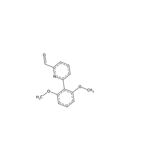 COc1cccc(OC)c1-c1cccc(C=O)n1